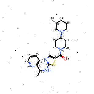 CC(Nc1ncc(C(=O)N2CCC(N3CCC[C@@H](C)C3)CC2)s1)c1ccccn1